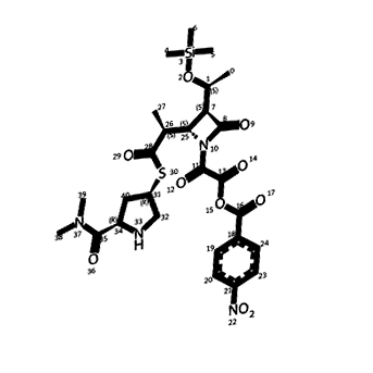 C[C@H](O[Si](C)(C)C)[C@H]1C(=O)N(C(=O)C(=O)OC(=O)c2ccc([N+](=O)[O-])cc2)[C@@H]1[C@H](C)C(=O)S[C@H]1CN[C@@H](C(=O)N(C)C)C1